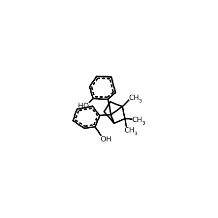 CC1(C)C2CCC1(C)C2(c1ccccc1O)c1ccccc1O